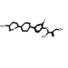 C=C(CO)C(O)Oc1ccc(C2CCC(C3CCC(CCCCC)CC3)CC2)cc1F